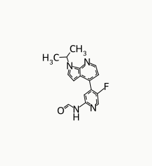 CC(C)n1ccc2c(-c3cc(NC=O)ncc3F)ccnc21